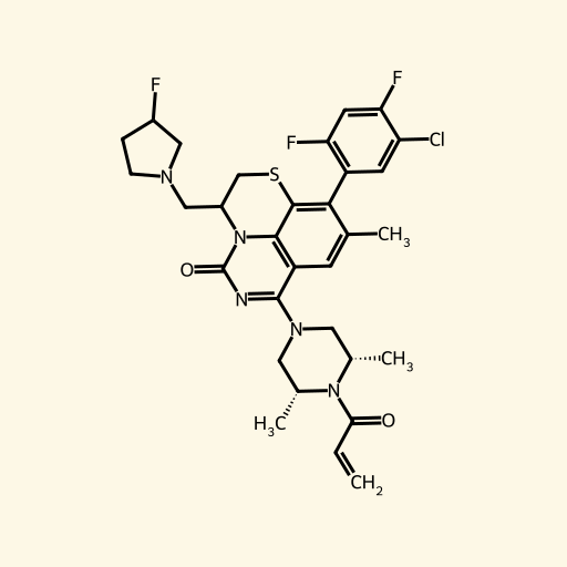 C=CC(=O)N1[C@H](C)CN(c2nc(=O)n3c4c(c(-c5cc(Cl)c(F)cc5F)c(C)cc24)SCC3CN2CCC(F)C2)C[C@@H]1C